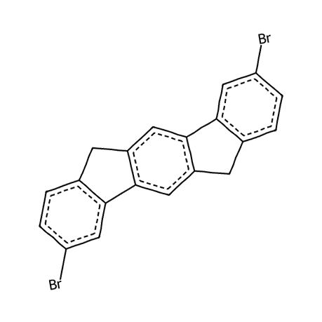 Brc1ccc2c(c1)-c1cc3c(cc1C2)-c1cc(Br)ccc1C3